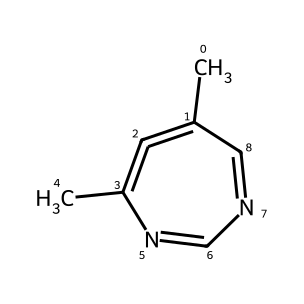 CC1=C=C(C)N=CN=C1